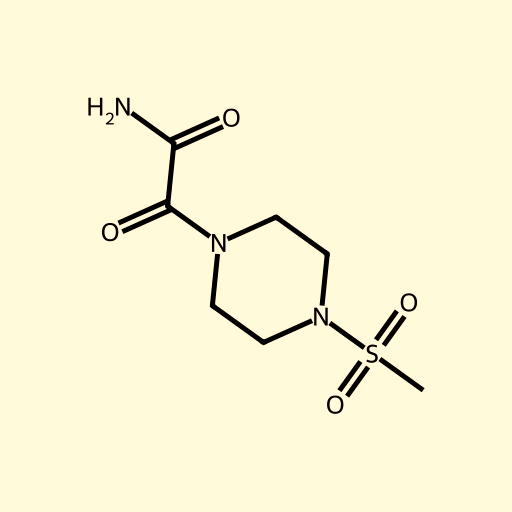 CS(=O)(=O)N1CCN(C(=O)C(N)=O)CC1